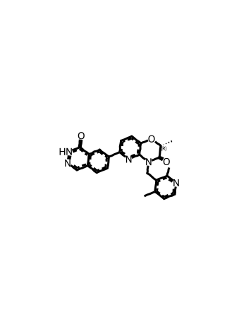 Cc1ccnc(C)c1CN1C(=O)[C@@H](C)Oc2ccc(-c3ccc4cn[nH]c(=O)c4c3)nc21